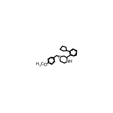 COc1ccc(CN2CCNC(c3ccccc3C3CCCC3)C2)cc1